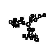 COCCOCCOCCN(CC(C)(C)S)c1cc(COc2cc(N)c(C(=O)N3c4ccccc4CC3C)cc2OC)cc(COc2cc3c(cc2OC)C(=O)N2c4ccccc4C[C@H]2C=N3)c1